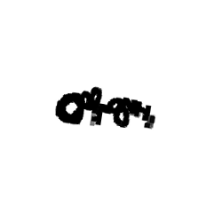 NC(=O)OCCNC(=O)COC1C#CCCCCC1